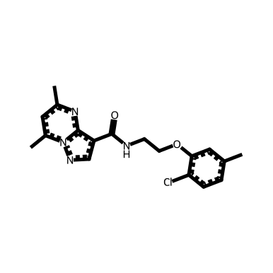 Cc1ccc(Cl)c(OCCNC(=O)c2cnn3c(C)cc(C)nc23)c1